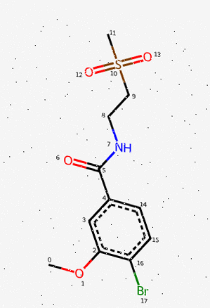 COc1cc(C(=O)NCCS(C)(=O)=O)ccc1Br